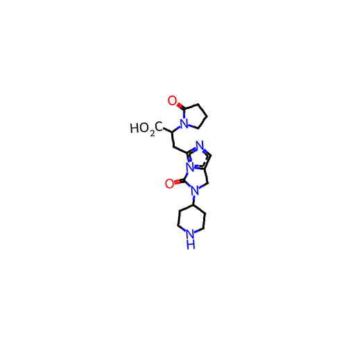 O=C(O)C(Cc1ncc2n1C(=O)N(C1CCNCC1)C2)N1CCCC1=O